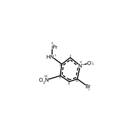 CC(C)Nc1c[n+]([O-])c(Br)cc1[N+](=O)[O-]